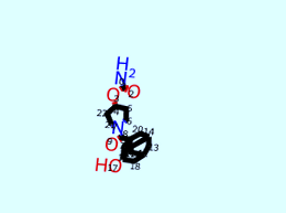 NC(=O)OC1CCN(C(=O)C23CC4CC(CC(O)(C4)C2)C3)CC1